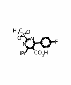 CC(C)c1nc(S(C)(=O)=O)nc(-c2ccc(F)cc2)c1C(=O)O